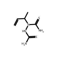 C=CC(C)N(NC(N)=S)C(N)=S